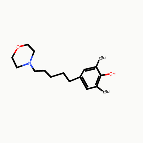 CC(C)(C)c1cc(CCCCCN2CCOCC2)cc(C(C)(C)C)c1O